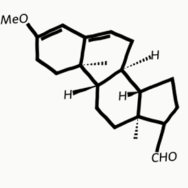 COC1=CC2=CC[C@@H]3[C@H](CC[C@]4(C)C(C=O)CC[C@@H]34)[C@@]2(C)CC1